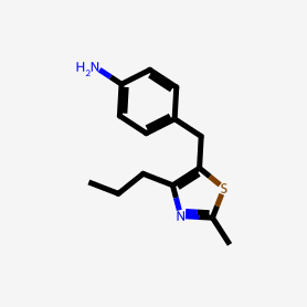 CCCc1nc(C)sc1Cc1ccc(N)cc1